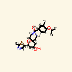 Cc1ncc([C@@H]2C[C@H](O)CC3(CCN(C(=O)c4ccc(OC(C)C)c(C)c4)CC3)O2)s1